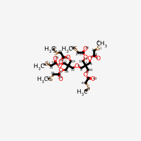 CSCC(=O)OCC(COCC(COC(=O)CSC)(COC(=O)CSC)COC(=O)CSC)(COC(=O)CSC)COC(=O)CSC